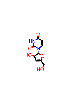 O=c1ccn([C@@H]2OC(CO)=CC2O)c(=O)[nH]1